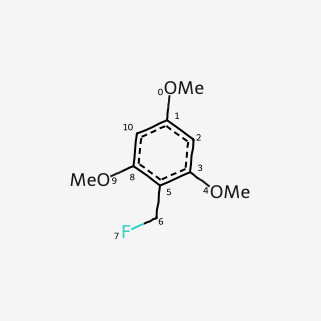 COc1cc(OC)c(CF)c(OC)c1